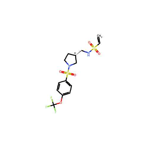 C=CS(=O)(=O)NC[C@H]1CCN(S(=O)(=O)c2ccc(OC(F)(F)F)cc2)C1